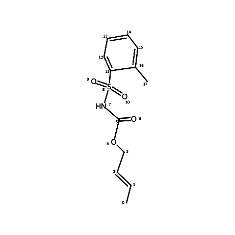 CC=CCOC(=O)NS(=O)(=O)c1ccccc1C